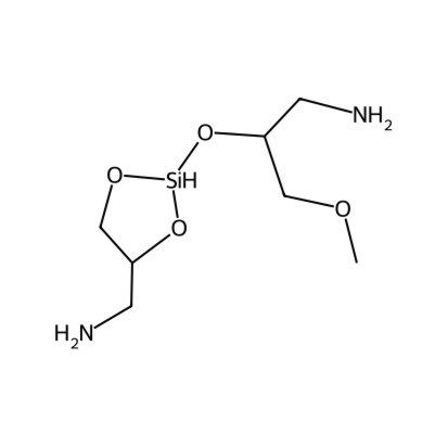 COCC(CN)O[SiH]1OCC(CN)O1